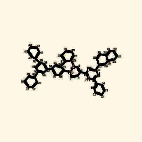 C1=CN2B(C=C1c1nc(-c3ccccc3)nc(-c3ccc4ccccc4c3)n1)c1ccccc1-c1cc(-c3cc(-c4ccccc4)cc(-c4ccccc4)c3)ccc12